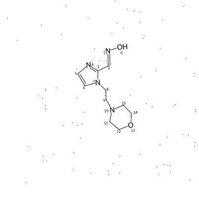 ON=Cc1nccn1CCN1CCOCC1